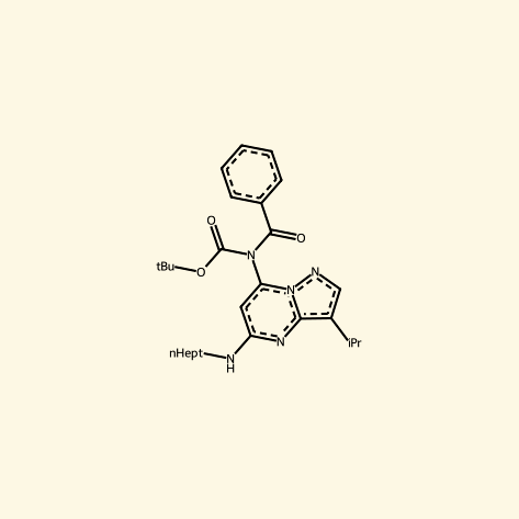 CCCCCCCNc1cc(N(C(=O)OC(C)(C)C)C(=O)c2ccccc2)n2ncc(C(C)C)c2n1